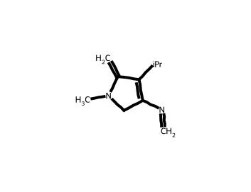 C=NC1=C(C(C)C)C(=C)N(C)C1